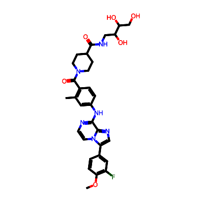 COc1ccc(-c2cnc3c(Nc4ccc(C(=O)N5CCC(C(=O)NCC(O)C(O)CO)CC5)c(C)c4)nccn23)cc1F